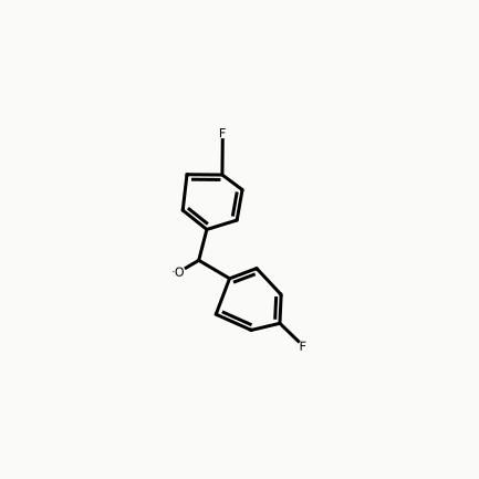 [O]C(c1ccc(F)cc1)c1ccc(F)cc1